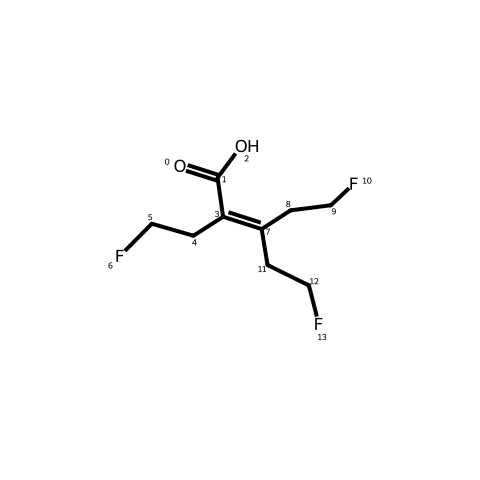 O=C(O)C(CCF)=C(CCF)CCF